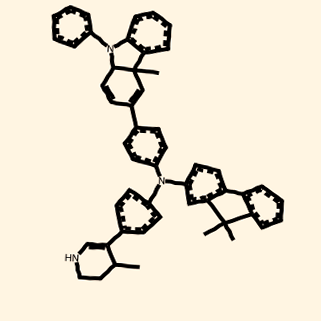 CC1CCNC=C1c1ccc(N(c2ccc(C3=CC4(C)c5ccccc5N(c5ccccc5)C4C=C3)cc2)c2ccc3c(c2)C(C)(C)c2ccccc2-3)cc1